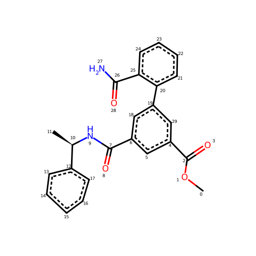 COC(=O)c1cc(C(=O)N[C@H](C)c2ccccc2)cc(-c2ccccc2C(N)=O)c1